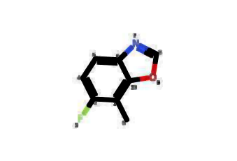 Cc1c(F)ccc2ncoc12